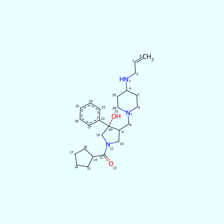 C=CCNC1CCN(CC2CN(C(=O)C3CCCC3)CC2(O)c2ccccc2)CC1